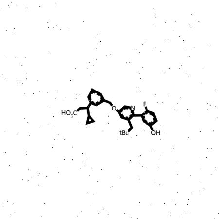 CC(C)(C)Cc1cc(OCc2cccc(C(CC(=O)O)C3CC3)c2)cnc1-c1cc(O)ccc1F